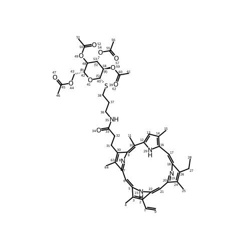 C=Cc1c(C)c2cc3nc(c(C)c4cc(C)c(cc5nc(cc1[nH]2)C(C)=C5CC)[nH]4)C(CCC(=O)NCCCS[C@@H]1O[C@H](COC(C)=O)C(OC(C)=O)[C@H](OC(C)=O)[C@H]1OC(C)=O)=C3C